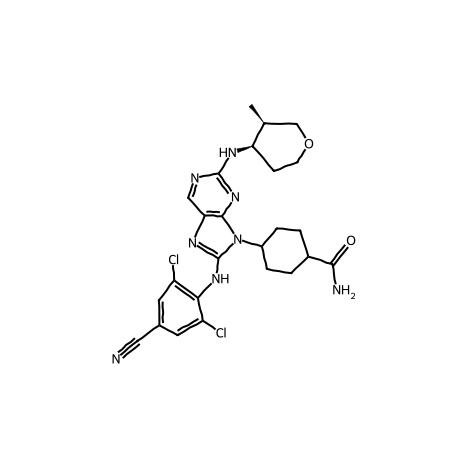 C[C@H]1COCC[C@H]1Nc1ncc2nc(Nc3c(Cl)cc(C#N)cc3Cl)n(C3CCC(C(N)=O)CC3)c2n1